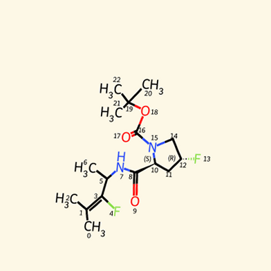 CC(C)=C(F)C(C)NC(=O)[C@@H]1C[C@@H](F)CN1C(=O)OC(C)(C)C